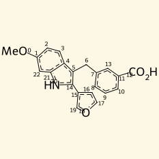 COc1ccc2c(Cc3cccc(C(=O)O)c3)c(-c3ccoc3)[nH]c2c1